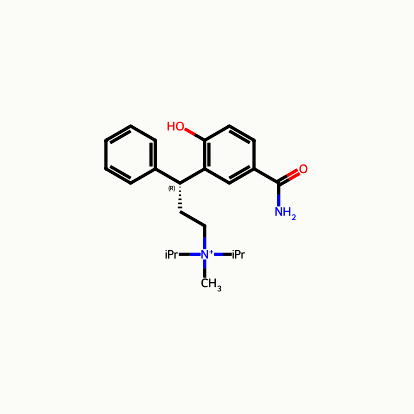 CC(C)[N+](C)(CC[C@H](c1ccccc1)c1cc(C(N)=O)ccc1O)C(C)C